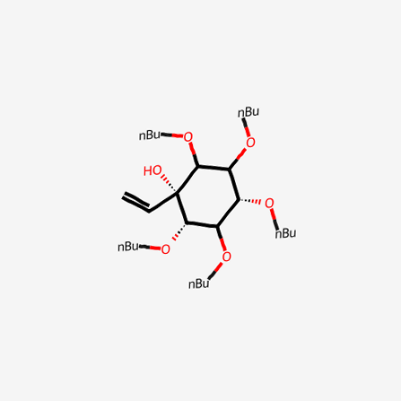 C=C[C@@]1(O)C(OCCCC)C(OCCCC)[C@H](OCCCC)C(OCCCC)[C@@H]1OCCCC